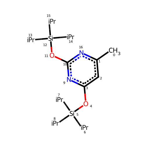 Cc1cc(O[Si](C(C)C)(C(C)C)C(C)C)nc(O[Si](C(C)C)(C(C)C)C(C)C)n1